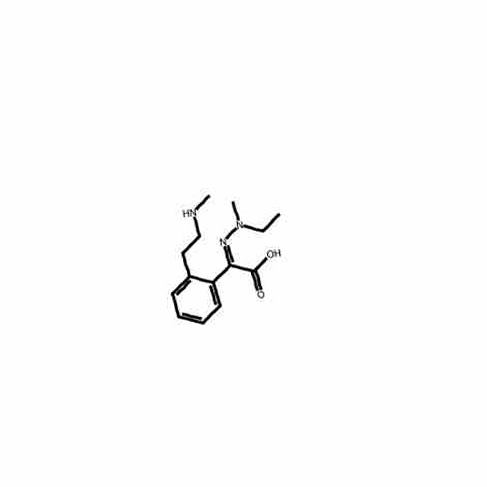 CCN(C)N=C(C(=O)O)c1ccccc1CCNC